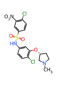 CN1CC[C@@H](Oc2cc(NS(=O)(=O)c3ccc(Cl)c([N+](=O)[O-])c3)ccc2Cl)C1